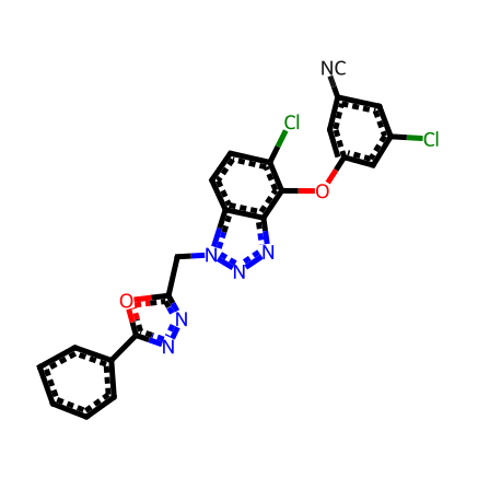 [C-]#[N+]c1cc(Cl)cc(Oc2c(Cl)ccc3c2nnn3Cc2nnc(-c3ccccc3)o2)c1